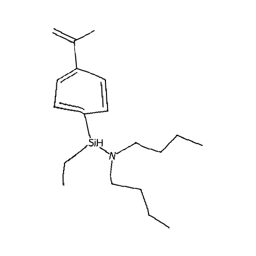 C=C(C)c1ccc([SiH](CC)N(CCCC)CCCC)cc1